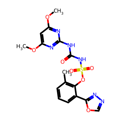 COc1cc(OC)nc(NC(=O)NS(=O)(=O)Oc2c(C)cccc2-c2nnco2)n1